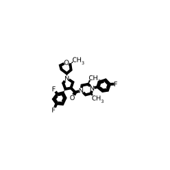 C[C@@H]1C[C@H](N2CC(C(=O)N3C[C@@H](C)N(c4ccc(F)cc4)[C@@H](C)C3)[C@H](c3ccc(F)cc3F)C2)CCO1